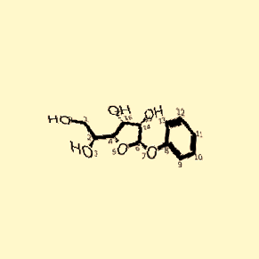 OC[C@H](O)[C@H]1O[C@H](Oc2ccccc2)[C@H](O)[C@H]1O